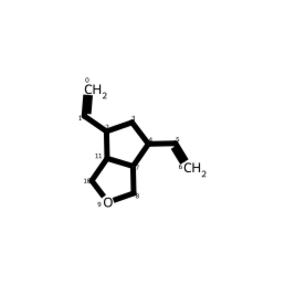 C=CC1CC(C=C)C2COCC12